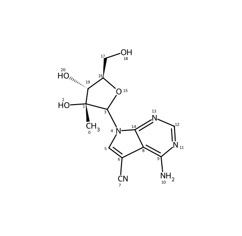 C[C@]1(O)C(n2cc(C#N)c3c(N)ncnc32)O[C@H](CO)[C@H]1O